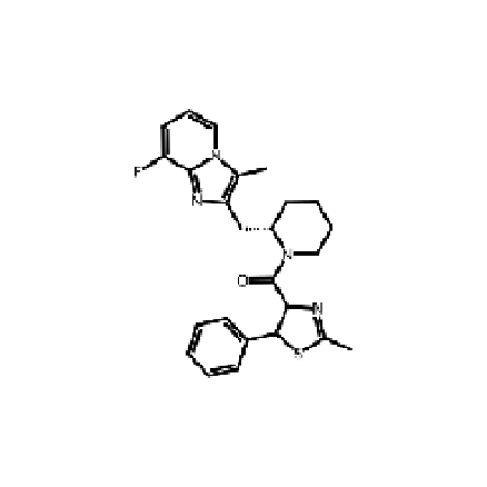 CC1=NC(C(=O)N2CCCC[C@H]2Cc2nc3c(F)cccn3c2C)C(c2ccccc2)S1